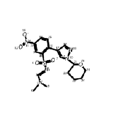 CN(C)C=NS(=O)(=O)c1cc([N+](=O)[O-])ccc1-c1cnn(C2CCCCO2)c1